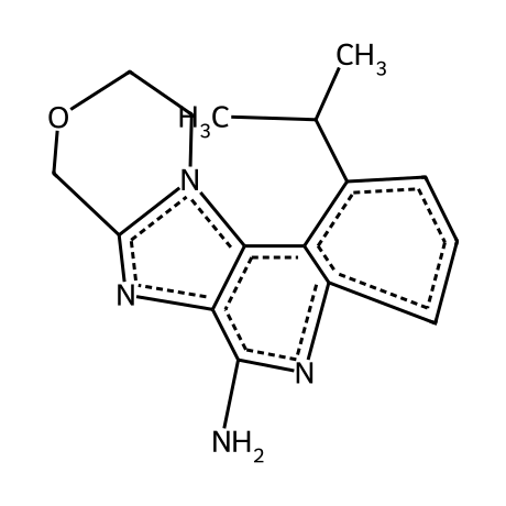 CC(C)c1cccc2nc(N)c3nc4n(c3c12)CCOC4